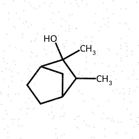 CC1C2CCC(C2)C1(C)O